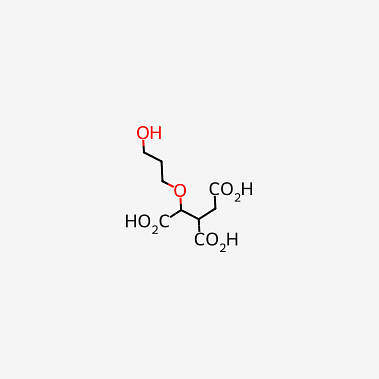 O=C(O)CC(C(=O)O)C(OCCCO)C(=O)O